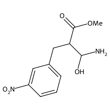 COC(=O)C(Cc1cccc([N+](=O)[O-])c1)C(N)O